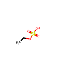 C[CH]OS(=O)(=O)O